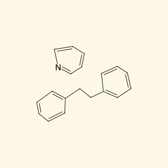 c1ccc(CCc2ccccc2)cc1.c1ccncc1